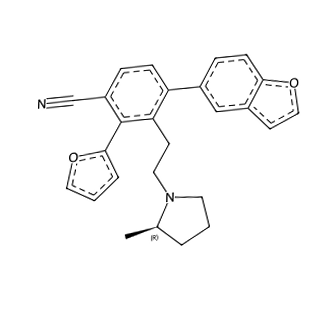 C[C@@H]1CCCN1CCc1c(-c2ccc3occc3c2)ccc(C#N)c1-c1ccco1